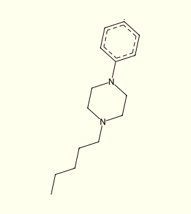 CCCCCN1CCN(c2cc[c]cc2)CC1